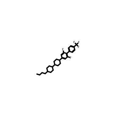 CCCCC1CCC(C2CCC(c3cc(F)c(-c4ccc(C(F)(F)F)cc4)c(F)c3)CC2)CC1